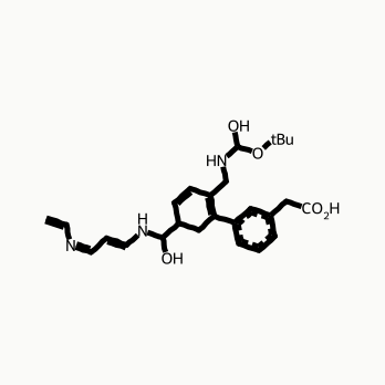 C=C/N=C\C=C\NC(O)C1C=CC(CNC(O)OC(C)(C)C)=C(c2cccc(CC(=O)O)c2)C1